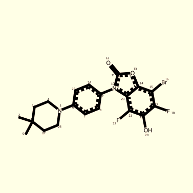 CC1(C)CCN(c2ccc(-n3c(=O)oc4c(Br)c(F)c(O)c(F)c43)cc2)CC1